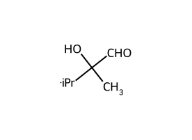 C[C](C)C(C)(O)C=O